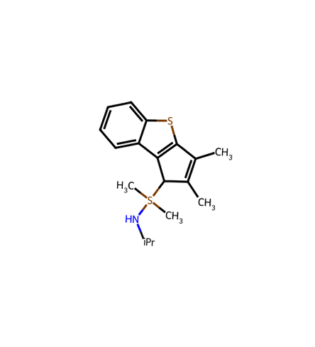 CC1=C(C)C(S(C)(C)NC(C)C)c2c1sc1ccccc21